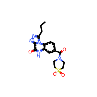 CCCc1nnc2c(=O)[nH]c3cc(C(=O)N4CCS(=O)(=O)CC4)ccc3n12